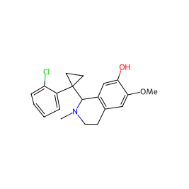 COc1cc2c(cc1O)C(C1(c3ccccc3Cl)CC1)N(C)CC2